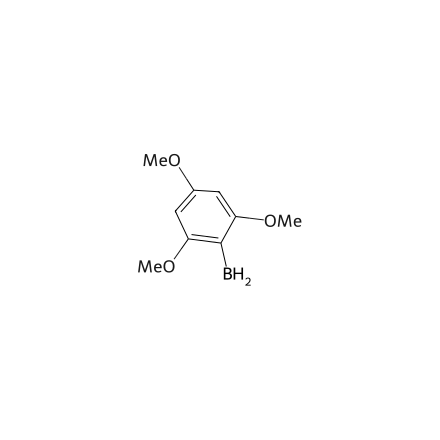 Bc1c(OC)cc(OC)cc1OC